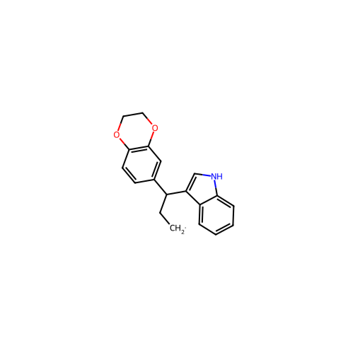 [CH2]CC(c1ccc2c(c1)OCCO2)c1c[nH]c2ccccc12